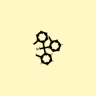 Cc1ccccc1C(Br)(c1ccccc1C)c1ccccc1C